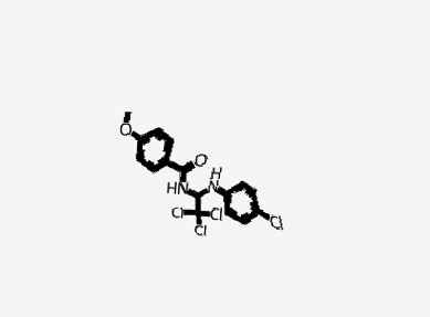 COc1ccc(C(=O)NC(Nc2ccc(Cl)cc2)C(Cl)(Cl)Cl)cc1